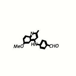 COc1ccc2nc(C)cc(Nc3ccc(C=O)cc3)c2c1